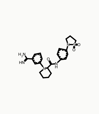 N=C(N)c1cccc(N2CCCCC2C(=O)Nc2ccc(N3CCCS3(=O)=O)cc2)c1